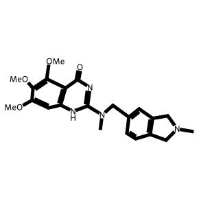 COc1cc2[nH]c(N(C)Cc3ccc4c(c3)CN(C)C4)nc(=O)c2c(OC)c1OC